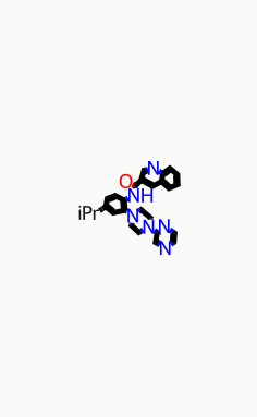 CC(C)c1ccc(NC(=O)c2cnc3ccccc3c2)c(N2CCN(c3cnccn3)CC2)c1